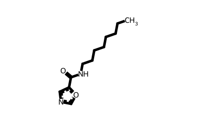 CCCCCCCCNC(=O)c1cnco1